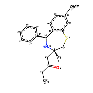 CC[C@]1(CC(=O)CC(F)(F)F)CSc2cc(OC)ccc2[C@H](c2ccccc2)N1